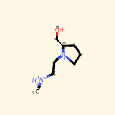 [CH2-][NH2+]CCN1CCC[C@@H]1CO